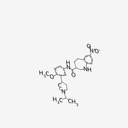 COc1ccc(NC(=O)C2CCc3cc([N+](=O)[O-])ccc3NC2)cc1C1CCN(C(C)C)CC1